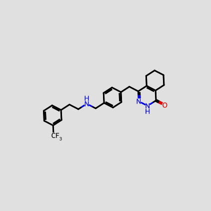 O=c1[nH]nc(Cc2ccc(CNCCc3cccc(C(F)(F)F)c3)cc2)c2c1CCCC2